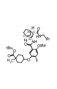 COc1cc(F)c(OC2CCC(C)(C(=O)OC(C)(C)C)CC2)cc1C(=O)N[C@@H]1[C@H]2CC[C@H](C2)[C@@H]1C(=O)NCC(C)C